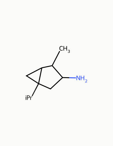 CC1C(N)CC2(C(C)C)CC12